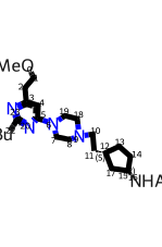 COCCc1cc(N2CCN(CC[C@@H]3CC[C@@H](NC(C)=O)C3)CC2)nc(C(C)(C)C)n1